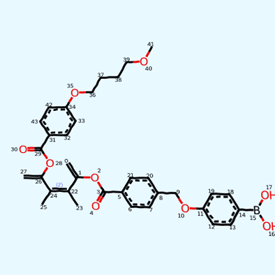 C=C(OC(=O)c1ccc(COc2ccc(B(O)O)cc2)cc1)/C(C)=C(/C)C(=C)OC(=O)c1ccc(OCCCCOC)cc1